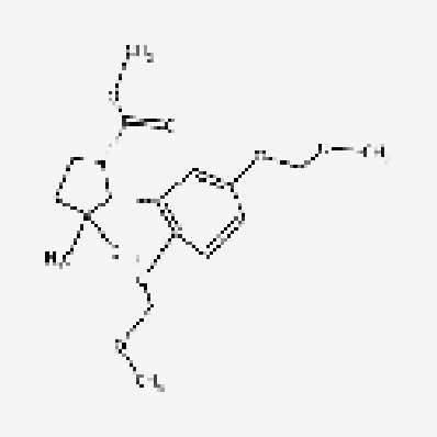 COCOc1ccc(OCOC)c([C@H]2[C@@H](C(=O)OC)CCC2(C)C)c1